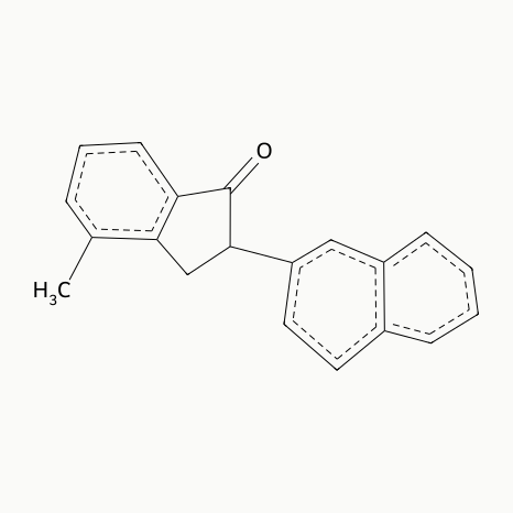 Cc1cccc2c1CC(c1ccc3ccccc3c1)C2=O